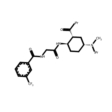 CC(C)C(=O)[C@@H]1C[C@H](N(C)C(C)C)CC[C@H]1NC(=O)CNC(=O)c1cccc(C(F)(F)F)c1